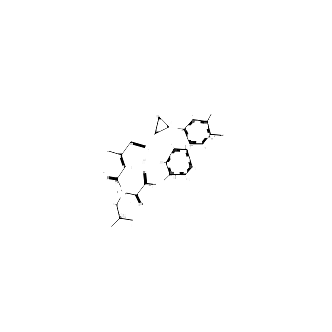 CC(C=C[C@@H]1C[C@H]1c1ccc(Cl)c(Cl)c1)=CC(=O)N(CC(C)C)C(=O)C(=O)Oc1ccccc1